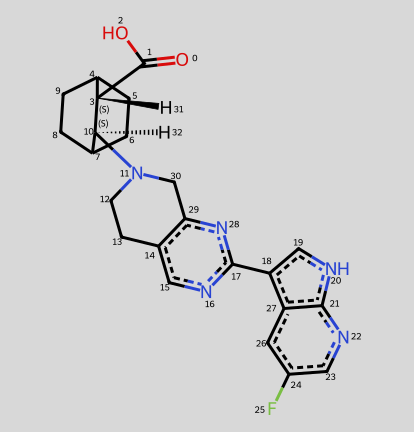 O=C(O)[C@H]1C2CCC(CC2)[C@@H]1N1CCc2cnc(-c3c[nH]c4ncc(F)cc34)nc2C1